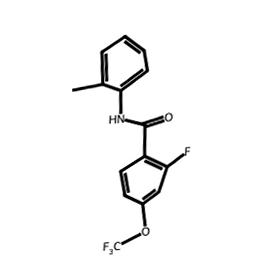 Cc1ccccc1NC(=O)c1ccc(OC(F)(F)F)cc1F